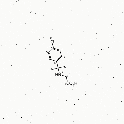 CC(C)(NCC(=O)O)c1ccc(Cl)cc1